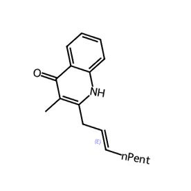 CCCCC/C=C/Cc1[nH]c2ccccc2c(=O)c1C